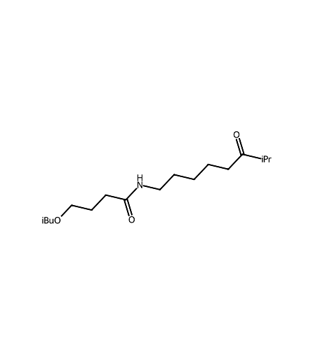 CC(C)COCCCC(=O)NCCCCCC(=O)C(C)C